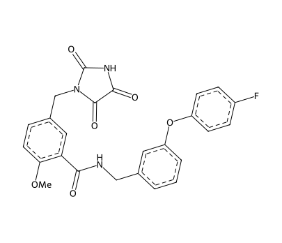 COc1ccc(CN2C(=O)NC(=O)C2=O)cc1C(=O)NCc1cccc(Oc2ccc(F)cc2)c1